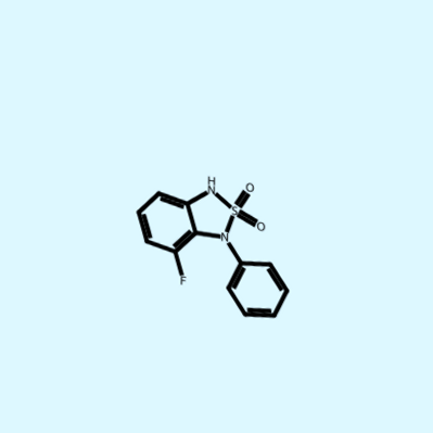 O=S1(=O)Nc2cccc(F)c2N1c1ccccc1